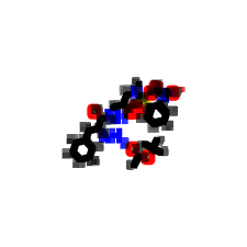 CC(=O)OC(C)(C)C.CN(C[C@H](O)CNC(=O)[C@@H](N)CC1CCCCC1)S(=O)(=O)c1ccccc1[N+](=O)[O-]